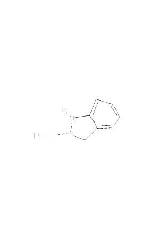 O=C(O)C1Cc2ccccc2N1I